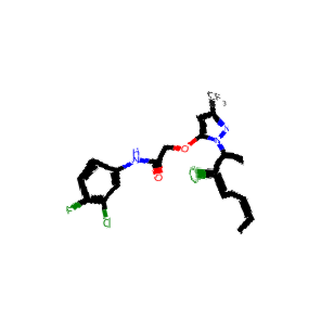 C=C(/C(Cl)=C\C=C/C)n1nc(C(F)(F)F)cc1OCC(=O)Nc1ccc(F)c(Cl)c1